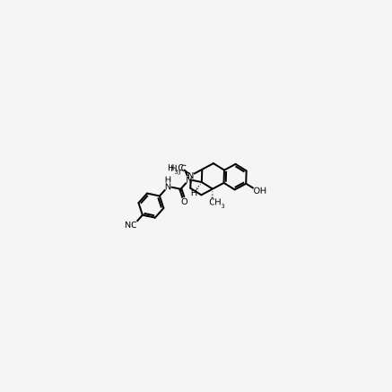 CN1CC[C@]2(C)c3cc(O)ccc3CC1[C@@H]2N(C)C(=O)Nc1ccc(C#N)cc1